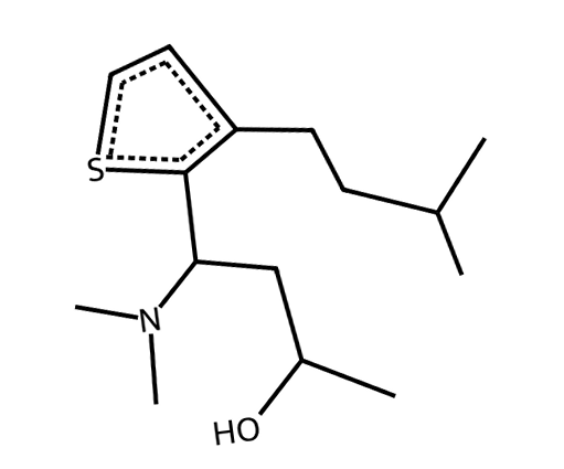 CC(C)CCc1ccsc1C(CC(C)O)N(C)C